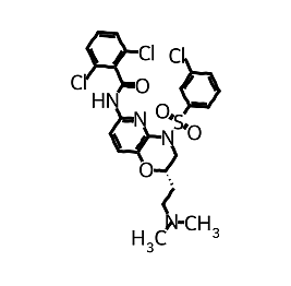 CN(C)CC[C@H]1CN(S(=O)(=O)c2cccc(Cl)c2)c2nc(NC(=O)c3c(Cl)cccc3Cl)ccc2O1